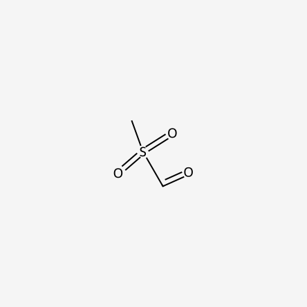 CS(=O)(=O)C=O